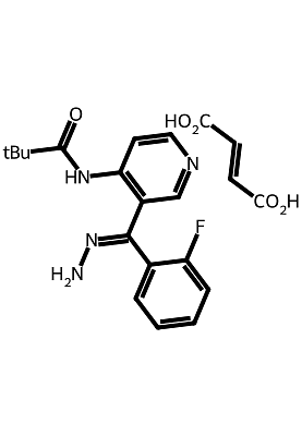 CC(C)(C)C(=O)Nc1ccncc1C(=NN)c1ccccc1F.O=C(O)C=CC(=O)O